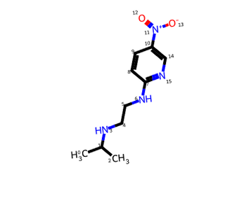 CC(C)NCCNc1ccc([N+](=O)[O-])cn1